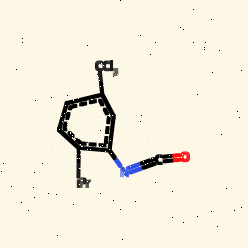 CC(C)c1ccc(C(Cl)(Cl)Cl)cc1N=C=O